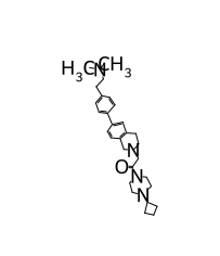 CN(C)CCc1ccc(-c2ccc3c(c2)CCN(CC(=O)N2CCN(C4CCC4)CC2)C3)cc1